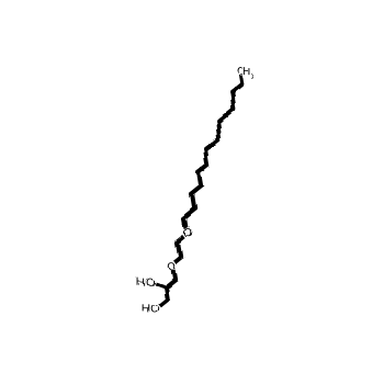 CCCCCCCCCCCCCOCCOCC(O)CO